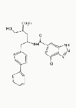 CCOC(=O)C(CO)CC(Cc1ccc(-c2ccccc2)cc1)NC(=O)c1cc(Cl)c2nn[nH]c2c1